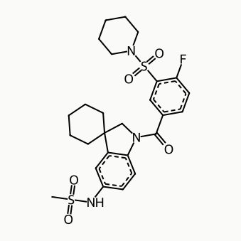 CS(=O)(=O)Nc1ccc2c(c1)C1(CCCCC1)CN2C(=O)c1ccc(F)c(S(=O)(=O)N2CCCCC2)c1